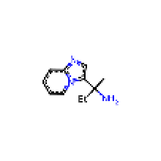 CCC(C)(N)c1cnc2ccccn12